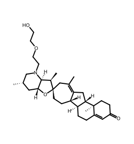 CC1=C2C[C@H]3[C@@H](CCC4=CC(=O)CC[C@@]43C)[C@@H]2CC[C@@]2(C1)O[C@@H]1C[C@H](C)CN(CCOCCO)[C@H]1[C@H]2C